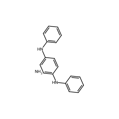 N.c1ccc(Nc2ccc(Nc3ccccc3)cc2)cc1